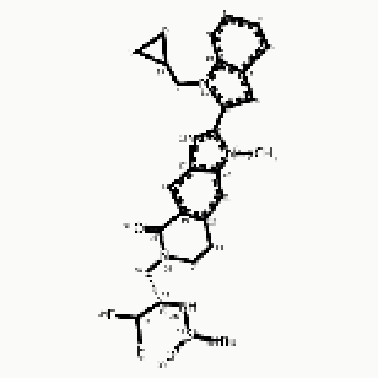 Cn1c(-c2cc3ccccc3n2CC2CC2)nc2cc3c(cc21)CCN(C[C@H](N[S+]([O-])C(C)(C)C)C(F)F)C3=O